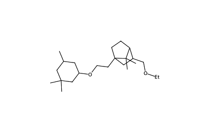 CCOCC1CC2(CCOC3CC(C)CC(C)(C)C3)CCC1C2(C)C